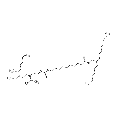 CCCCCCCCC(CCCCCC)COC(=O)CCCCCCCCCOC(=O)OCCN(CCN(CC)C(C)CCCCC)C(C)C